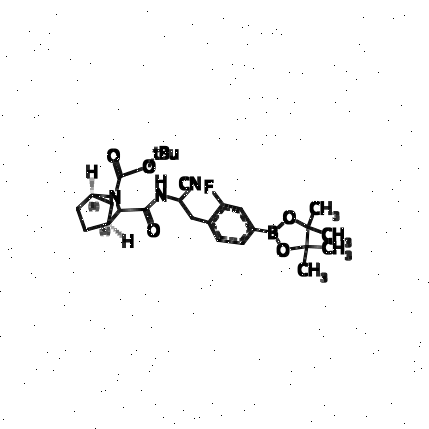 CC(C)(C)OC(=O)N1C(C(=O)NC(C#N)Cc2ccc(B3OC(C)(C)C(C)(C)O3)cc2F)[C@H]2CC[C@@H]1C2